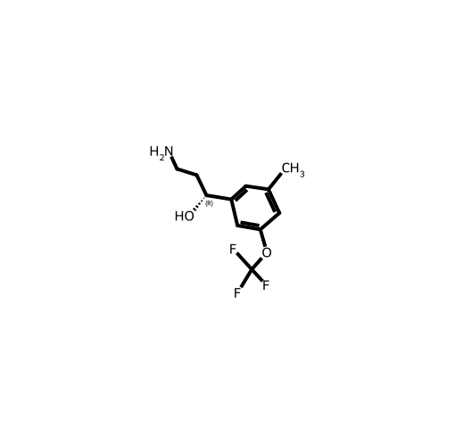 Cc1cc(OC(F)(F)F)cc([C@H](O)CCN)c1